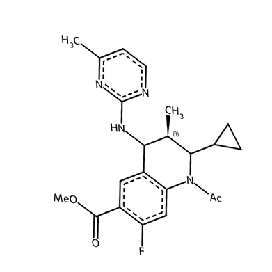 COC(=O)c1cc2c(cc1F)N(C(C)=O)C(C1CC1)[C@H](C)C2Nc1nccc(C)n1